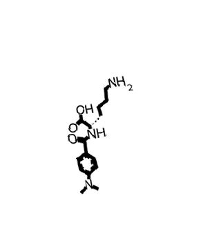 CN(C)c1ccc(C(=O)N[C@@H](CCCCN)C(=O)O)cc1